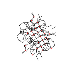 CCO[Si](OCC)(OCC)C1(S(S)(SS)C(C)(C(CCC(C)CC)(S(S)(SS)C2([Si](OCC)(OCC)OCC)CC3CCC2(CC)C3)S(S)(SS)C2([Si](OCC)(OCC)OCC)CC3CCC2(CC)C3)C(S(S)(SS)C2([Si](OCC)(OCC)OCC)CC3CCC2(CC)C3)(S(S)(SS)C2([Si](OCC)(OCC)OCC)CC3CCC2(CC)C3)S(S)(SS)C2([Si](OCC)(OCC)OCC)CC3CCC2(CC)C3)CC2CCC1(CC)C2